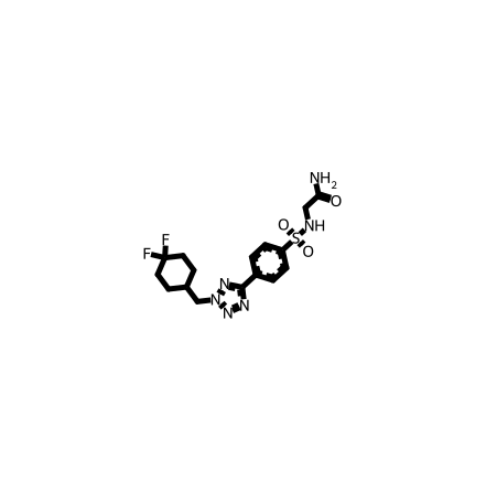 NC(=O)CNS(=O)(=O)c1ccc(-c2nnn(CC3CCC(F)(F)CC3)n2)cc1